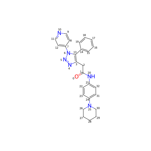 O=C(Cc1nnn(-c2ccncc2)c1-c1ccccc1)Nc1ccc(N2CCCCC2)cc1